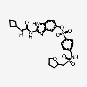 O=C(Nc1nc2cc(OS(=O)(=O)c3ccc(NS(=O)(=O)CC4CCCO4)cc3)ccc2[nH]1)NC1CCC1